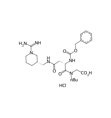 CCCCN(CC(=O)O)C(=O)[C@H](CC(=O)NC[C@@H]1CCCN(C(=N)N)C1)NC(=O)OCc1ccccc1.Cl